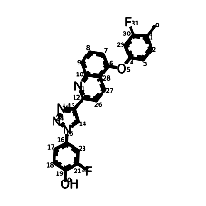 Cc1ccc(Oc2cccc3nc(-c4cn(-c5ccc(O)c(F)c5)nn4)ccc23)cc1F